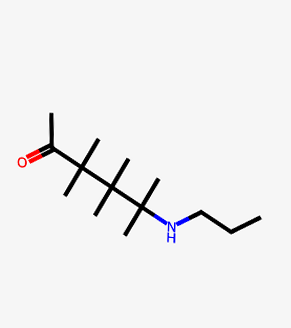 CCCNC(C)(C)C(C)(C)C(C)(C)C(C)=O